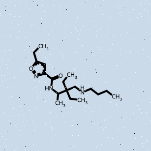 CCCCNCC(CC)(CC)C(C)NC(=O)c1cc(CC)on1